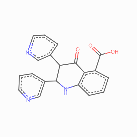 O=C(O)c1cccc2c1C(=O)C(c1cccnc1)C(c1cccnc1)N2